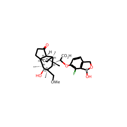 COC[C@]1(C)C[C@@H](C(Oc2ccc3c(c2F)B(O)OC3)C(=O)O)[C@@]2(C)[C@H](C)CC[C@]3(CCC(=O)[C@H]32)[C@@H](C)[C@@H]1O